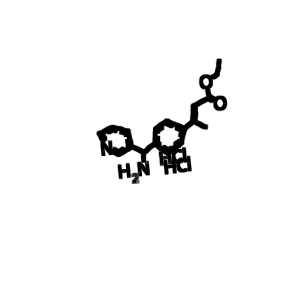 CCOC(=O)C=C(C)c1ccc(C(N)c2cccnc2)cc1.Cl.Cl